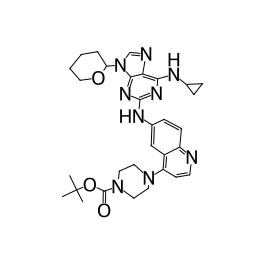 CC(C)(C)OC(=O)N1CCN(c2ccnc3ccc(Nc4nc(NC5CC5)c5ncn(C6CCCCO6)c5n4)cc23)CC1